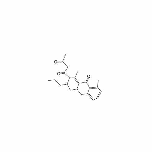 CCCC1CC2Cc3cccc(C)c3C(=O)C2=C(C)C1C(=O)CC(C)=O